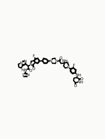 NC1(CC(=O)N2CCN(c3ccc(-c4cc(F)c5c(c4)C(=O)N(C(C(=O)Nc4nccs4)c4ncn6c4CCC6)C5)cc3)CC2)CCN(c2ccc(NC3CCC(=O)NC3=O)cc2F)CC1